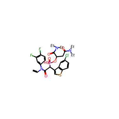 C=CN(C(=O)C(c1csc2ccc(Cl)cc12)P(=O)(O)OC(CC(=O)N(CC)CC)C(=O)N(CC)CC)c1ccc(F)c(F)c1